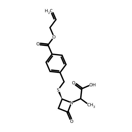 C=CCOC(=O)c1ccc(CS[C@@H]2CC(=O)N2C(C)C(=O)O)cc1